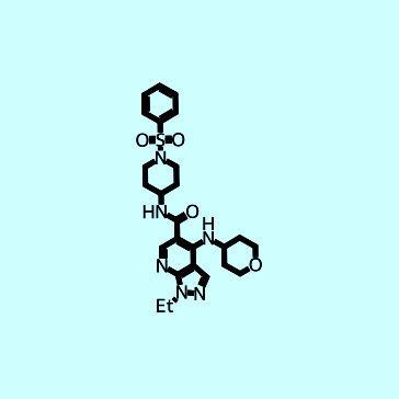 CCn1ncc2c(NC3CCOCC3)c(C(=O)NC3CCN(S(=O)(=O)c4ccccc4)CC3)cnc21